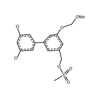 COCOc1cc(COS(C)(=O)=O)cc(-c2cc(Cl)cc(Cl)c2)c1